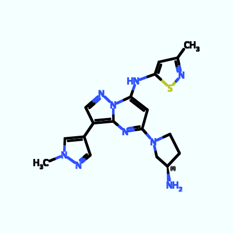 Cc1cc(Nc2cc(N3CC[C@@H](N)C3)nc3c(-c4cnn(C)c4)cnn23)sn1